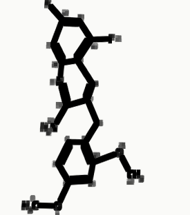 COc1ccc(Cc2cc3c(F)cc(F)cc3nc2N)c(OC)c1